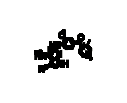 CCNc1nc(Nc2ccc(C(=O)N3CCN(C)C[C@H]3C)cc2OC)nc2[nH]cc(C#N)c12